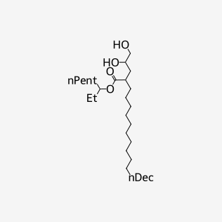 CCCCCCCCCCCCCCCCCCCCC(CC(O)CO)C(=O)OC(CC)CCCCC